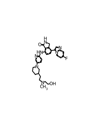 CN(CCO)CCC1CCCN(c2ccc(Nc3ccc(-c4cnc5cc(F)ccn45)c4c3C(=O)NC4)nc2)C1